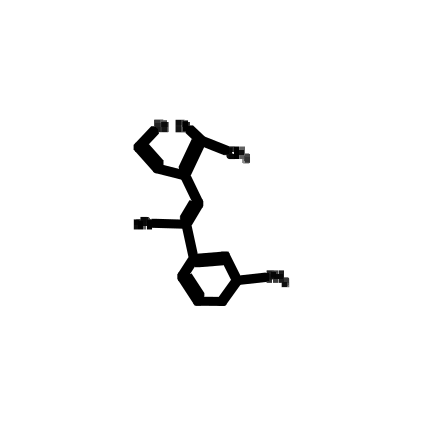 CC\C=C/C(/C=C(\CCC)C1=CC(P)CC=C1)=C(/C)CC